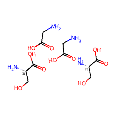 NCC(=O)O.NCC(=O)O.N[C@@H](CO)C(=O)O.N[C@@H](CO)C(=O)O